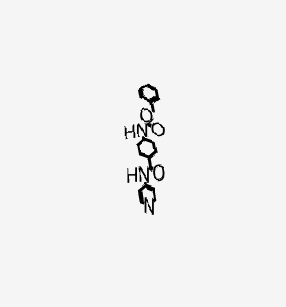 O=C(NC1CCC(C(=O)Nc2ccncc2)CC1)OCc1ccccc1